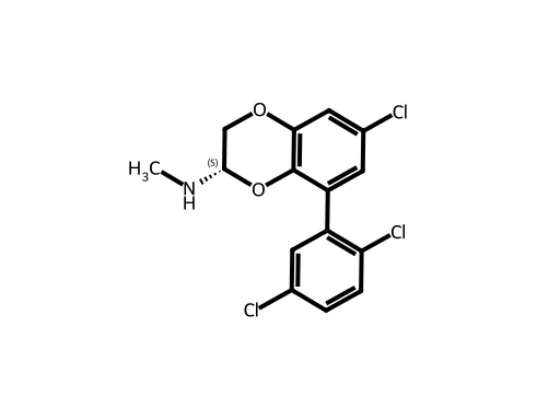 CN[C@@H]1COc2cc(Cl)cc(-c3cc(Cl)ccc3Cl)c2O1